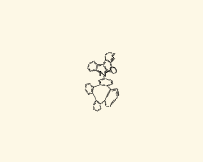 c1ccc2c(c1)-c1ccccc1-c1ccc(-n3c4ccccc4c4c5ccccc5oc43)cc1-c1ccccc1-2